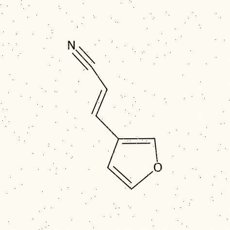 N#CC=Cc1ccoc1